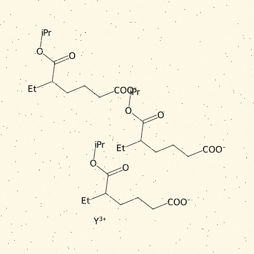 CCC(CCCC(=O)[O-])C(=O)OC(C)C.CCC(CCCC(=O)[O-])C(=O)OC(C)C.CCC(CCCC(=O)[O-])C(=O)OC(C)C.[Y+3]